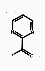 CC(=O)c1nc[c]cn1